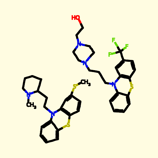 CSc1ccc2c(c1)N(CCC1CCCCN1C)c1ccccc1S2.OCCN1CCN(CCCN2c3ccccc3Sc3ccc(C(F)(F)F)cc32)CC1